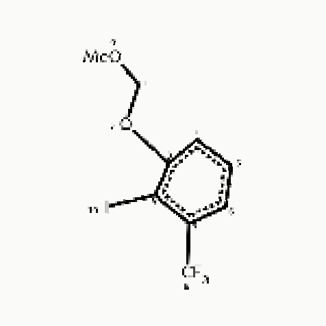 COCOc1cccc(C(F)(F)F)c1I